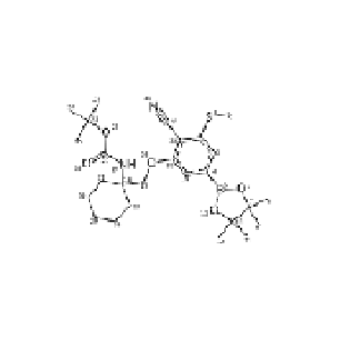 CSc1cc(B2OC(C)(C)C(C)(C)O2)cc(OCC2(NC(=O)OC(C)(C)C)CCCCC2)c1C#N